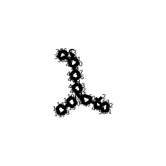 CC1(C)C(c2ccc(N(c3ccc(-c4ccccc4)cc3)c3ccc(-c4ccc(-c5ccc6sc7ccccc7c6c5)cc4)cc3)cc2)=Cc2ccccc21